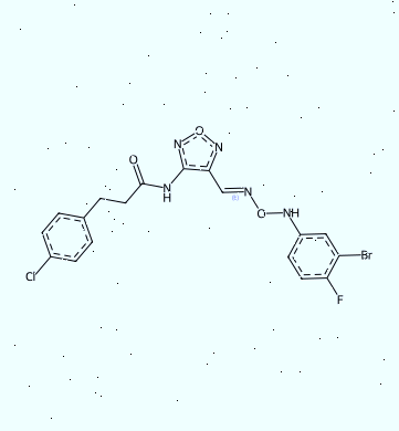 O=C(CCc1ccc(Cl)cc1)Nc1nonc1/C=N/ONc1ccc(F)c(Br)c1